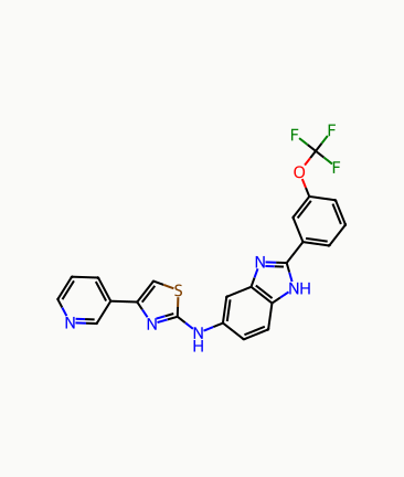 FC(F)(F)Oc1cccc(-c2nc3cc(Nc4nc(-c5cccnc5)cs4)ccc3[nH]2)c1